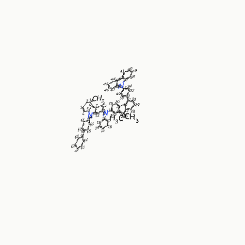 CC1CC=Cc2c1c1ccc(N(c3ccccc3)c3ccc4c(c3)C(C)(C)c3cccc(-c5ccc(-n6c7ccccc7c7ccccc76)cc5)c3-4)cc1n2-c1ccc(-c2ccccc2)cc1